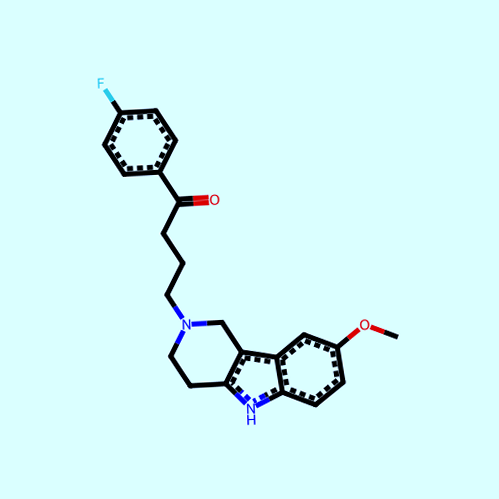 COc1ccc2[nH]c3c(c2c1)CN(CCCC(=O)c1ccc(F)cc1)CC3